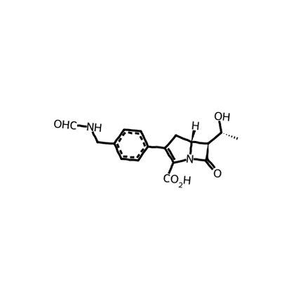 C[C@@H](O)[C@H]1C(=O)N2C(C(=O)O)=C(c3ccc(CNC=O)cc3)C[C@H]12